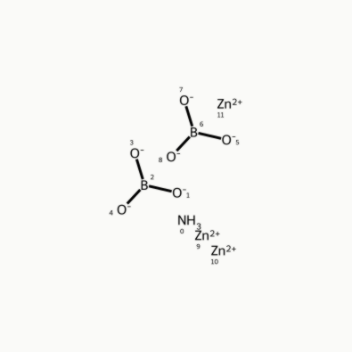 N.[O-]B([O-])[O-].[O-]B([O-])[O-].[Zn+2].[Zn+2].[Zn+2]